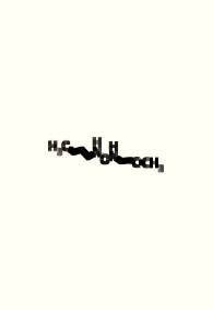 CCCCNONCCCC